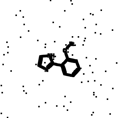 CCOc1ccccc1-c1ncc[nH]1